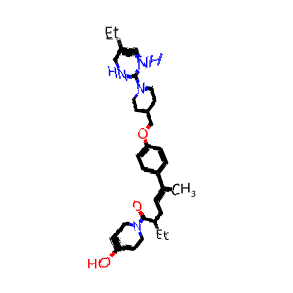 CCC1=CNC(N2CCC(COC3=CCC(/C(C)=C/CC(CC)C(=O)N4CCC(O)CC4)C=C3)CC2)NC1